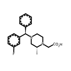 C[C@@H]1CN([C@H](c2ccccc2)c2cccc(F)c2)CCN1CC(=O)O